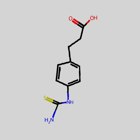 NC(=S)Nc1ccc(CCC(=O)O)cc1